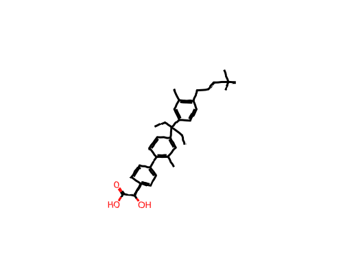 CCC(CC)(c1ccc(CCCC(C)(C)C)c(C)c1)c1ccc(-c2ccc(C(O)C(=O)O)cc2)c(C)c1